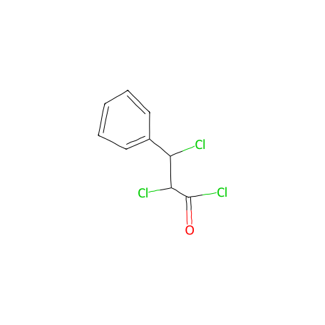 O=C(Cl)C(Cl)C(Cl)c1ccccc1